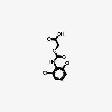 O=C(O)COC(=O)Nc1c(Cl)cccc1Cl